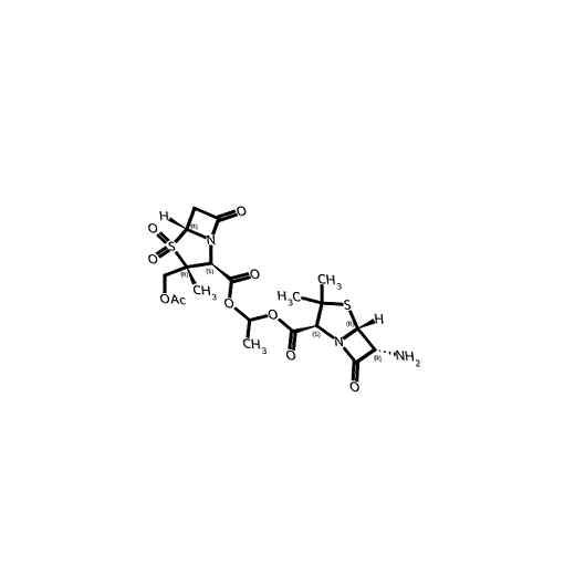 CC(=O)OC[C@@]1(C)[C@H](C(=O)OC(C)OC(=O)[C@@H]2N3C(=O)[C@@H](N)[C@H]3SC2(C)C)N2C(=O)C[C@H]2S1(=O)=O